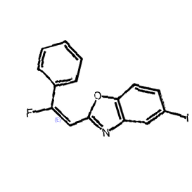 F/C(=C/c1nc2cc(I)ccc2o1)c1ccccc1